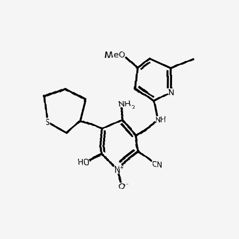 COc1cc(C)nc(Nc2c(N)c(C3CCCSC3)c(O)[n+]([O-])c2C#N)c1